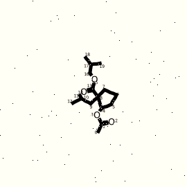 CC(=O)OC1CCCC1(CC(C)C)C(=O)OCC(C)C